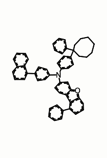 c1ccc(-c2cccc3oc4cc(N(c5ccc(-c6cccc7ccccc67)cc5)c5ccc(C6(c7ccccc7)CCCCCCC6)cc5)ccc4c23)cc1